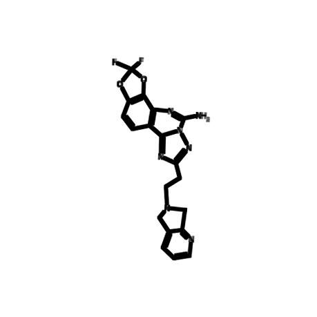 Nc1nc2c3c(ccc2c2nc(CCN4Cc5cccnc5C4)nn12)OC(F)(F)O3